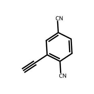 C#Cc1cc(C#N)ccc1C#N